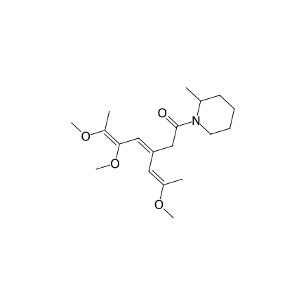 CO/C(C)=C(/C=C(\C=C(/C)OC)CC(=O)N1CCCCC1C)OC